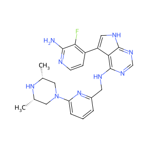 C[C@@H]1CN(c2cccc(CNc3ncnc4[nH]cc(-c5ccnc(N)c5F)c34)n2)C[C@H](C)N1